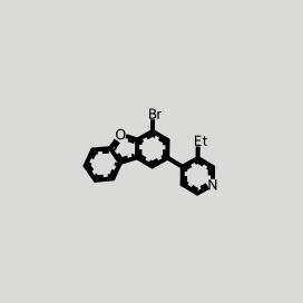 CCc1cnccc1-c1cc(Br)c2oc3ccccc3c2c1